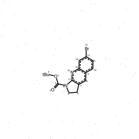 CC(C)(C)OC(=O)N1CCc2cc3ccc(Br)cc3nc21